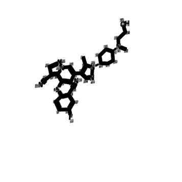 Cc1c(-c2cc(Sc3ccc(F)cc3C#N)c3c(C#N)cnn3c2)cnn1[C@H]1CC[C@@H](N(C)CCO)CC1